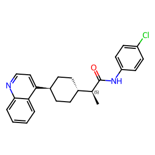 C[C@H](C(=O)Nc1ccc(Cl)cc1)[C@H]1CC[C@H](c2ccnc3ccccc32)CC1